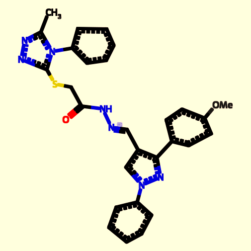 COc1ccc(-c2nn(-c3ccccc3)cc2/C=N/NC(=O)CSc2nnc(C)n2-c2ccccc2)cc1